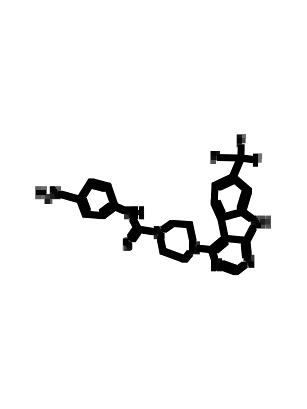 Nc1ccc(NC(=S)N2CCN(c3ncnc4[nH]c5cc(C(F)(F)F)ccc5c34)CC2)cc1